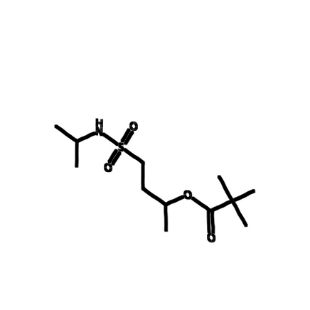 CC(C)NS(=O)(=O)CCC(C)OC(=O)C(C)(C)C